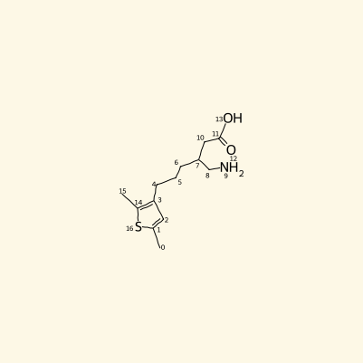 Cc1cc(CCCC(CN)CC(=O)O)c(C)s1